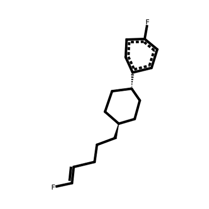 FC=CCCC[C@H]1CC[C@H](c2ccc(F)cc2)CC1